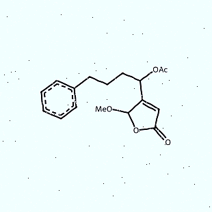 COC1OC(=O)C=C1C(CCCc1ccccc1)OC(C)=O